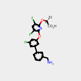 CC[C@@H](Oc1nc(Oc2cc(F)cc(-c3cccc(CN)c3)c2)c(F)cc1F)C(=O)O